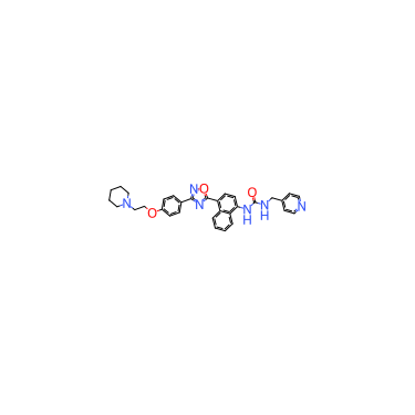 O=C(NCc1ccncc1)Nc1ccc(-c2nc(-c3ccc(OCCN4CCCCC4)cc3)no2)c2ccccc12